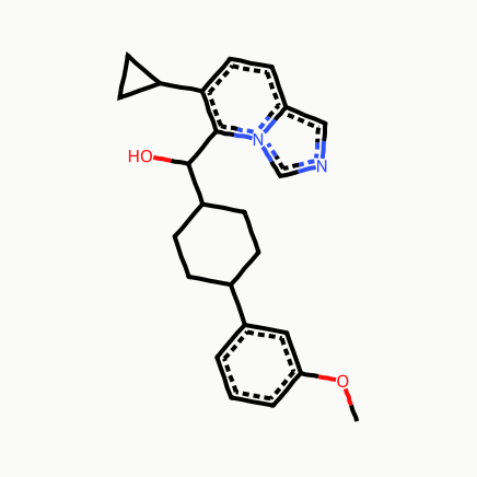 COc1cccc(C2CCC(C(O)c3c(C4CC4)ccc4cncn34)CC2)c1